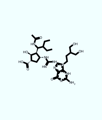 CCC(CC)C(NC(C)=O)[C@@H]1[C@H](O)[C@@H](C(=O)O)C[C@H]1NC(=N)N.Nc1nc(=O)c2ncn(CCC(CO)CO)c2[nH]1